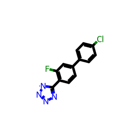 Fc1cc(-c2ccc(Cl)cc2)ccc1C1=NN=N[N]1